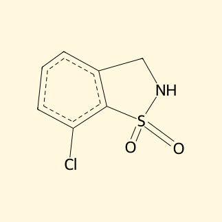 O=S1(=O)NCc2cccc(Cl)c21